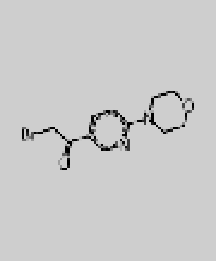 O=C(CBr)c1ccc(N2CCOCC2)nc1